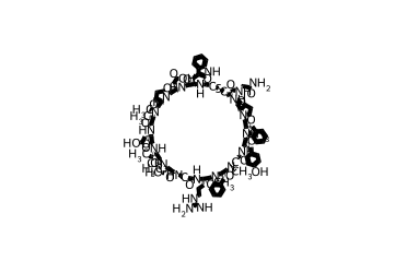 CC(C)[C@@H]1NC(=O)[C@H](CC(=O)O)NC(=O)[C@H](C)N(C)C(=O)[C@@H]2CCCN2C(=O)[C@H](CC(=O)O)NC(=O)[C@@H](Cc2c[nH]c3ccccc23)NC(=O)CSC[C@@H](C(=O)NCC(N)=O)NC(=O)[C@@H]2CCCN2C(=O)[C@H](Cc2ccccc2)N(C)C(=O)[C@H](Cc2ccc(O)cc2)NC(=O)CN(C)C(=O)[C@H](Cc2ccccc2)N(C)C(=O)[C@H](CCCNC(=N)N)NC(=O)CNC(=O)[C@H](CO)N(C)C1=O